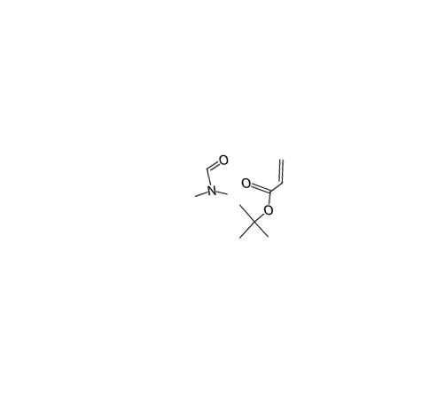 C=CC(=O)OC(C)(C)C.CN(C)C=O